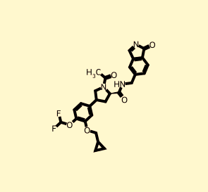 CC(=O)N1CC(c2ccc(OC(F)F)c(OCC3CC3)c2)C[C@@H]1C(=O)NCc1ccc2c(c1)C=NC2=O